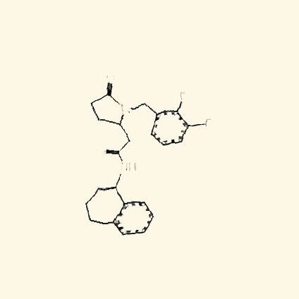 O=C(CC1CCC(=O)N1Cc1cccc(F)c1F)NC1CCCc2ccccc21